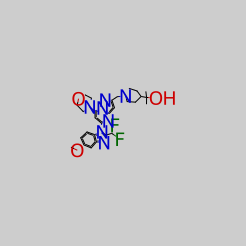 COc1ccc2c(c1)nc(C(F)F)n2-c1cc(N2CCOCC2)n2nc(CN3CCC(C(C)(C)O)CC3)cc2n1